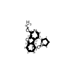 COc1ncc([C@@H]2CCCN2C)c2c1oc1ccccc12